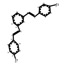 CCc1ccc(C=Cc2cccc(C=Cc3ccc(CC)cc3)c2)cc1